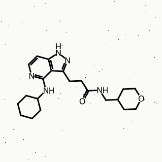 O=C(CCc1n[nH]c2ccnc(NC3CCCCC3)c12)NCC1CCOCC1